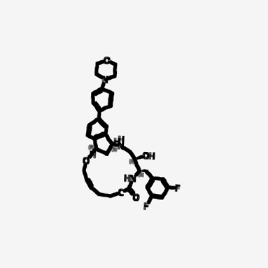 O=C1CCCC=CCO[C@@H]2C[C@H](NC[C@@H](O)[C@H](Cc3cc(F)cc(F)c3)N1)c1cc(-c3ccc(N4CCOCC4)cc3)ccc12